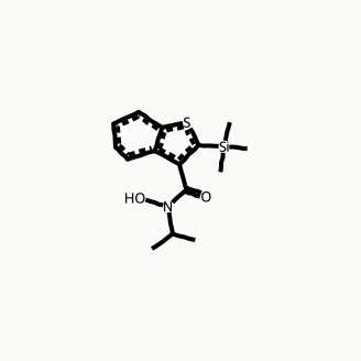 CC(C)N(O)C(=O)c1c([Si](C)(C)C)sc2ccccc12